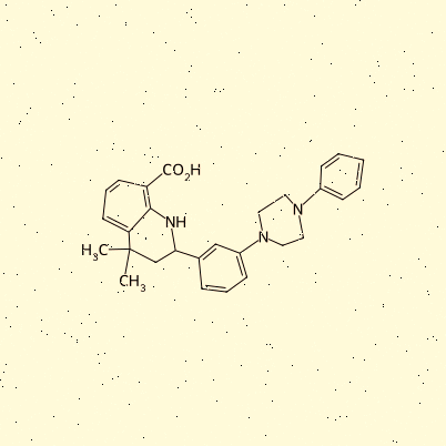 CC1(C)CC(c2cccc(N3CCN(c4ccccc4)CC3)c2)Nc2c(C(=O)O)cccc21